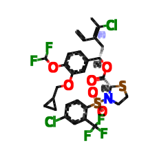 C=C/C(C[C@H](OC(=O)[C@@H]1SCCN1S(=O)(=O)c1ccc(Cl)cc1C(F)(F)F)c1ccc(OC(F)F)c(OCC2CC2)c1)=C(\C)Cl